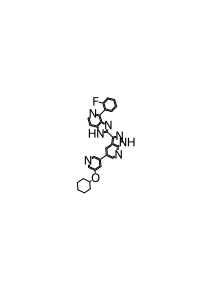 Fc1ccccc1-c1nccc2[nH]c(-c3n[nH]c4ncc(-c5cncc(OC6CCCCC6)c5)cc34)nc12